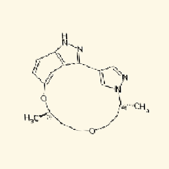 C[C@@H]1CCOCC[C@@H](C)n2cc(cn2)-c2n[nH]c3ccc(cc23)O1